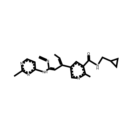 C=N/C(=C\C(=C/C)c1cnc(C)c(C(=O)NCC2CC2)c1)Nc1ccnc(C)n1